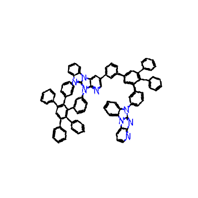 c1ccc(-c2cc(-c3cccc(-c4cnc5c(c4)n4c6ccccc6nc4n5-c4cccc(-c5c(-c6ccccc6)c(-c6ccccc6)cc(-c6ccccc6)c5-c5ccccc5)c4)c3)cc(-c3cccc(-n4c5ccccc5n5c6cccnc6nc45)c3)c2-c2ccccc2)cc1